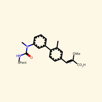 CCCCCNC(=O)N(C)c1cccc(-c2ccc(/C=C(\OC)C(=O)O)cc2C)c1